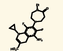 CCN1CCN(c2c(F)c(N)c3c(c2F)N(C2CC2)C=C(C(=O)O)C3)CCC1=O